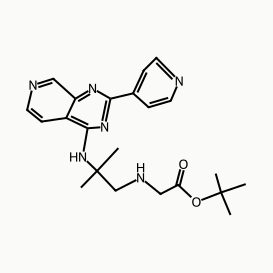 CC(C)(CNCC(=O)OC(C)(C)C)Nc1nc(-c2ccncc2)nc2cnccc12